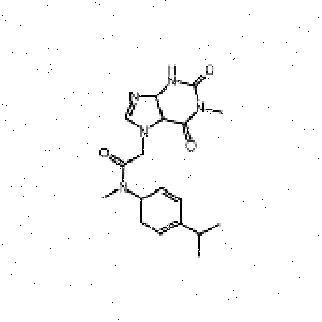 CC(C)C1=CCC(N(C)C(=O)CN2C=NC3NC(=O)N(C)C(=O)C32)C=C1